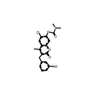 Cc1c(Cc2cccc(N=O)c2)c(=O)oc2cc(OC(=O)N(C)C)c(Cl)cc12